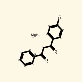 O=C(CC(=O)c1ccc(Cl)cc1)c1ccccc1.[MgH2]